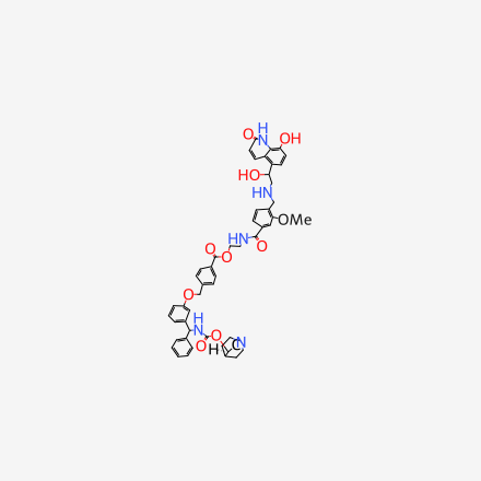 COc1cc(C(=O)NCCOC(=O)c2ccc(COc3cccc(C(NC(=O)O[C@H]4CN5CCC4CC5)c4ccccc4)c3)cc2)ccc1CNCC(O)c1ccc(O)c2[nH]c(=O)ccc12